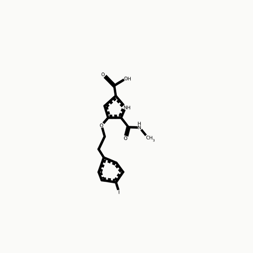 CNC(=O)c1[nH]c(C(=O)O)cc1OCCc1ccc(I)cc1